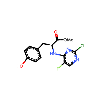 COC(=O)[C@H](Cc1ccc(O)cc1)Nc1nc(Cl)ncc1F